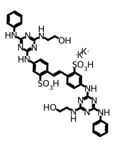 O=S(=O)(O)c1cc(Nc2nc(NCCO)nc(Nc3ccccc3)n2)ccc1C=Cc1ccc(Nc2nc(NCCO)nc(Nc3ccccc3)n2)cc1S(=O)(=O)O.[K].[K]